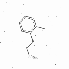 CCCCC[P][P]c1ccccc1C